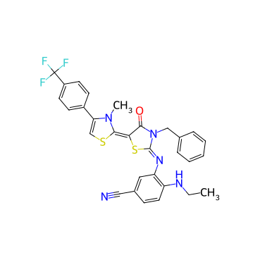 CCNc1ccc(C#N)cc1N=C1SC(=C2SC=C(c3ccc(C(F)(F)F)cc3)N2C)C(=O)N1Cc1ccccc1